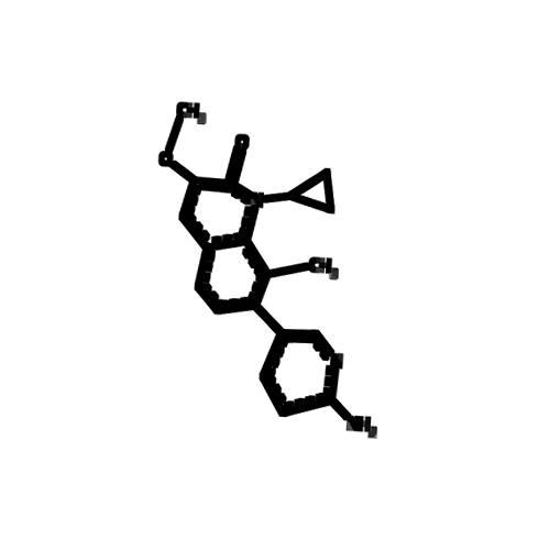 COc1cc2ccc(-c3ccc(N)nc3)c(C)c2n(C2CC2)c1=O